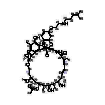 CO[C@H]1/C=C/O[C@@]2(C)Oc3c(C)c(O)c4c(=O)c(c5oc6cc(OCCNCCCC(C)C)ccc6nc-5c4c3C2=O)NC(=O)/C(C)=C\C=C\[C@H](C)[C@H](O)[C@@H](C)[C@@H](O)[C@@H](C)[C@H](OC(C)=O)[C@@H]1C